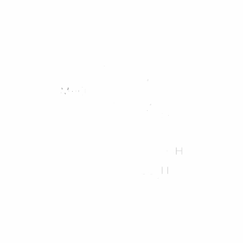 COc1cccc(C(=O)CC(O)C(=O)O)c1